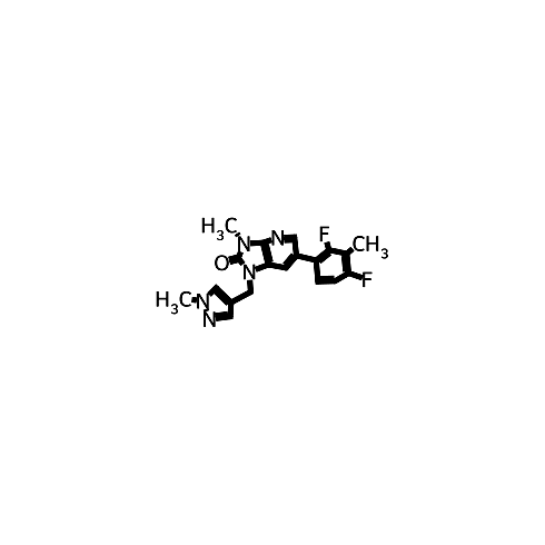 Cc1c(F)ccc(-c2cnc3c(c2)n(Cc2cnn(C)c2)c(=O)n3C)c1F